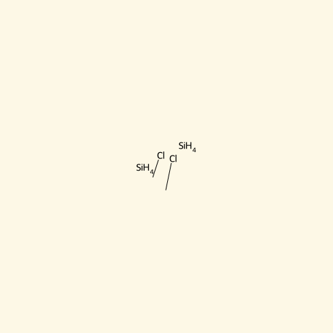 CCl.CCl.[SiH4].[SiH4]